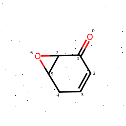 O=C1C=CCC2OC12